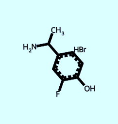 Br.CC(N)c1ccc(O)c(F)c1